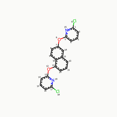 Clc1cccc(Oc2ccc3c(Oc4cccc(Cl)n4)cccc3c2)n1